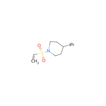 C=CS(=O)(=O)N1CCC(C(C)C)CC1